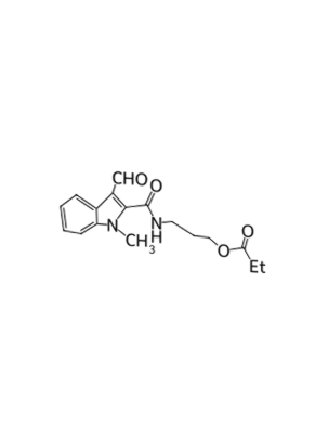 CCC(=O)OCCCNC(=O)c1c(C=O)c2ccccc2n1C